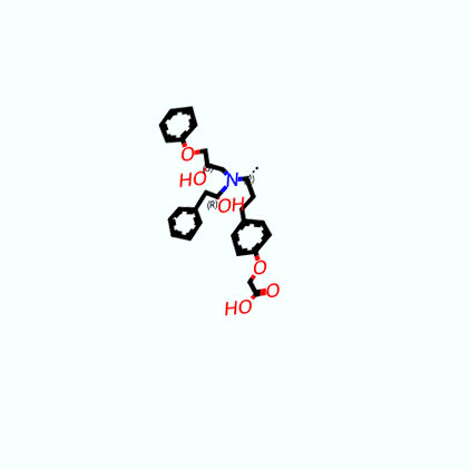 C[C@H](CCc1ccc(OCC(=O)O)cc1)N(C[C@H](O)COc1ccccc1)[C@H](O)Cc1ccccc1